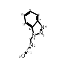 O=C=NCn1nnc2ccccc21